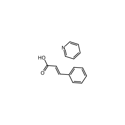 O=C(O)C=Cc1ccccc1.c1ccncc1